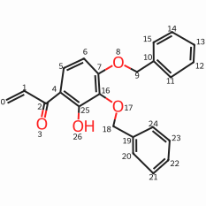 C=CC(=O)c1ccc(OCc2ccccc2)c(OCc2ccccc2)c1O